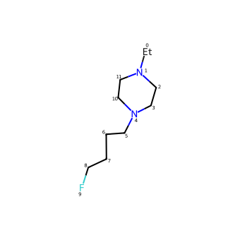 CCN1CCN(CCCCF)CC1